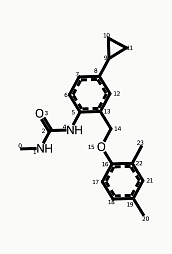 CNC(=O)Nc1ccc(C2CC2)cc1COc1ccc(C)cc1C